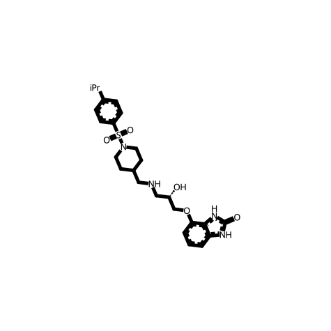 CC(C)c1ccc(S(=O)(=O)N2CCC(CNC[C@H](O)COc3cccc4[nH]c(=O)[nH]c34)CC2)cc1